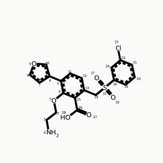 NCCOc1c(-c2ccoc2)ccc(CS(=O)(=O)c2cccc(Cl)c2)c1C(=O)O